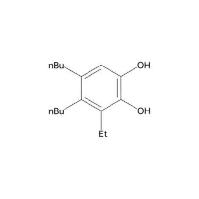 CCCCc1cc(O)c(O)c(CC)c1CCCC